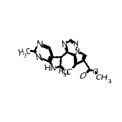 COC(=O)c1cn2ncnc(C3C(=O)Nc4nc(C)ncc43)c2c1C